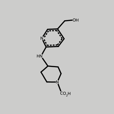 O=C(O)N1CCC(Nc2ccc(CO)cn2)CC1